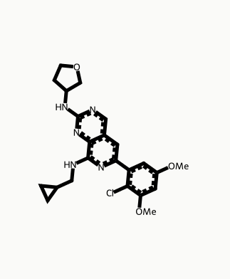 COc1cc(OC)c(Cl)c(-c2cc3cnc(NC4CCOC4)nc3c(NCC3CC3)n2)c1